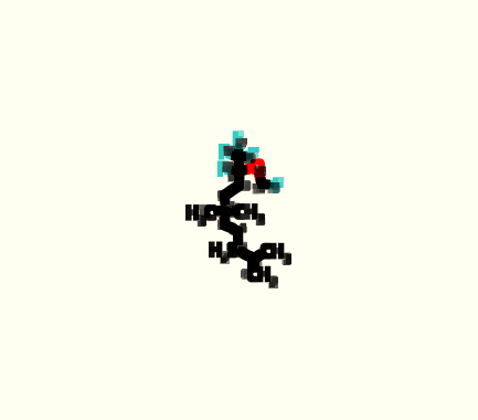 C=C(C)[SiH2]CC[Si](C)(C)CCC(F)(OCF)C(F)(F)F